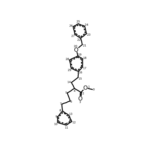 COC(=O)C(CCCc1ccccc1)CCc1ccc(OCc2ccccc2)cc1